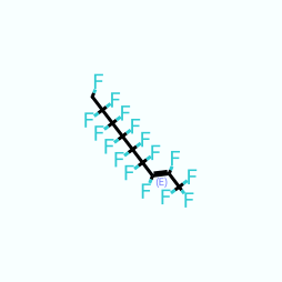 FCC(F)(F)C(F)(F)C(F)(F)C(F)(F)C(F)(F)/C(F)=C(\F)C(F)(F)F